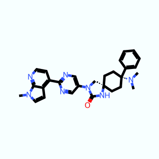 Cn1ccc2c(-c3ncc(N4C[C@]5(CC[C@@](c6ccccc6)(N(C)C)CC5)NC4=O)cn3)ccnc21